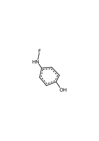 Oc1ccc(NF)cc1